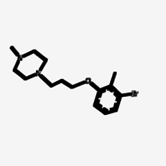 Cc1c(Br)cccc1OCCCN1CCN(C)CC1